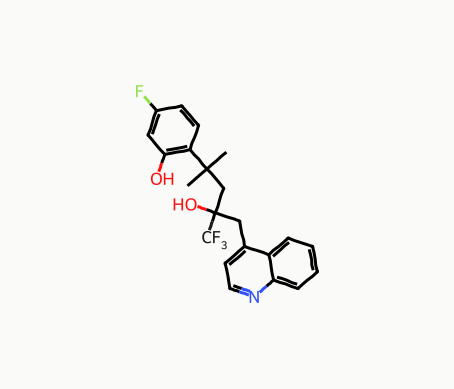 CC(C)(CC(O)(Cc1ccnc2ccccc12)C(F)(F)F)c1ccc(F)cc1O